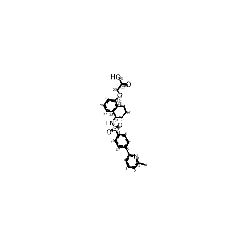 Cc1cccc(-c2ccc(S(=O)(=O)NC3CCCc4c(OCC(=O)O)cccc43)cc2)n1